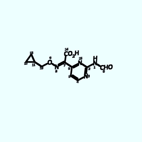 O=CNc1nccc(C(=NOCC2CC2)C(=O)O)n1